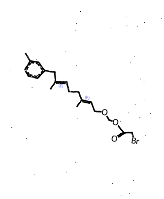 C/C(=C\COCOC(=O)CBr)CC/C=C(\C)Cc1cccc(C)c1